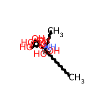 CCCCCCCCCCCCCC[C@@H](O)[C@@H](O)[C@H](COC1CC(CO)C(O)C(O)C1O)NC(=O)CCCCCC